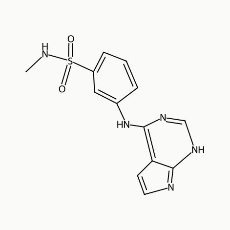 CNS(=O)(=O)c1cccc(Nc2nc[nH]c3nccc2-3)c1